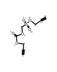 C#CCOC(=O)OCS(=O)(=O)OCC#C